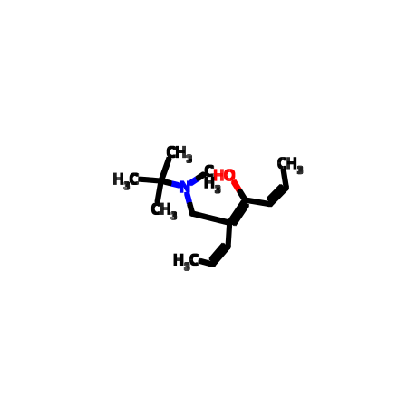 C\C=C/C(O)=C(\C=C/C)CN(C)C(C)(C)C